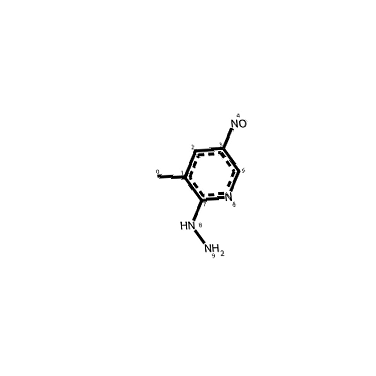 Cc1cc(N=O)cnc1NN